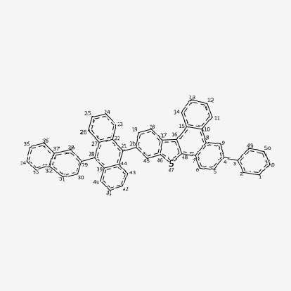 c1ccc(-c2ccc3c(c2)c2ccccc2c2c4ccc(-c5c6ccccc6c(-c6ccc7ccccc7c6)c6ccccc56)cc4sc32)cc1